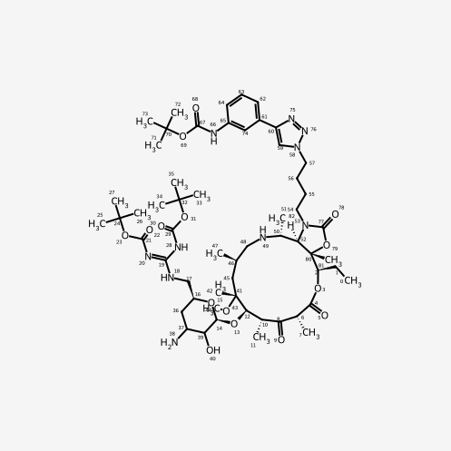 CC[C@H]1OC(=O)[C@H](C)C(=O)[C@H](C)[C@@H](O[C@@H]2O[C@H](CN/C(=N/C(=O)OC(C)(C)C)NC(=O)OC(C)(C)C)CC(N)C2O)[C@](C)(OC)C[C@@H](C)CN[C@H](C)[C@H]2N(CCCCn3cc(-c4cccc(NC(=O)OC(C)(C)C)c4)nn3)C(=O)O[C@]12C